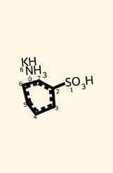 N.O=S(=O)(O)c1ccccc1.[KH]